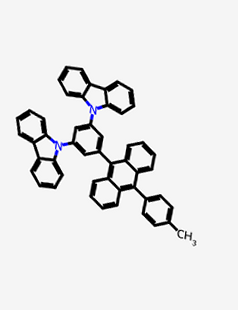 Cc1ccc(-c2c3ccccc3c(-c3cc(-n4c5ccccc5c5ccccc54)cc(-n4c5ccccc5c5ccccc54)c3)c3ccccc23)cc1